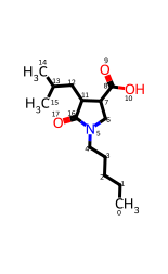 CCCCCN1CC(C(=O)O)C(CC(C)C)C1=O